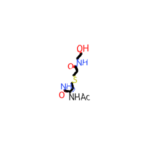 CC(=O)NC(CCSCCC(=O)NCCO)C(N)=O